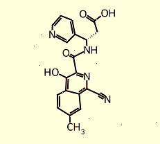 Cc1ccc2c(O)c(C(=O)N[C@@H](CC(=O)O)c3cccnc3)nc(C#N)c2c1